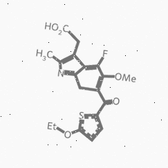 CCOc1ccc(C(=O)C2=C(OC)C(F)=C3C(=NC(C)=C3CC(=O)O)C2)s1